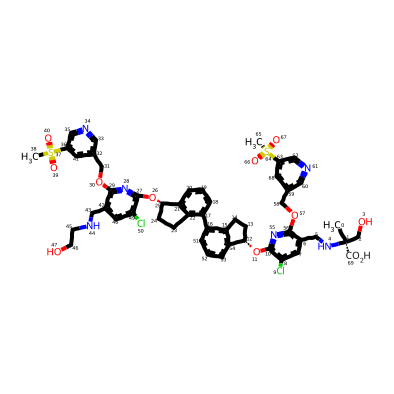 C[C@@](CO)(NCc1cc(Cl)c(O[C@H]2CCc3c(-c4cccc5c4CC[C@@H]5Oc4nc(OCc5cncc(S(C)(=O)=O)c5)c(CNCCO)cc4Cl)cccc32)nc1OCc1cncc(S(C)(=O)=O)c1)C(=O)O